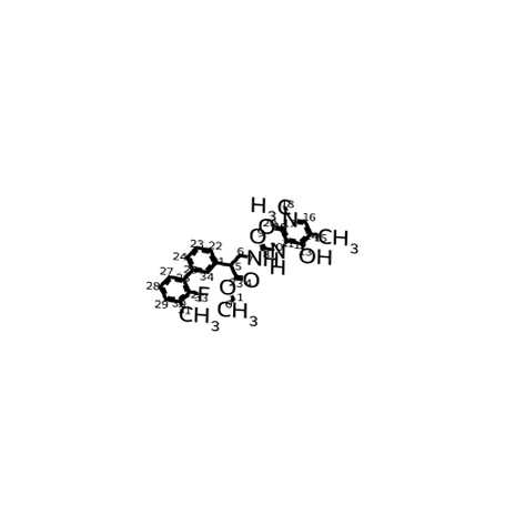 CCOC(=O)C(CNC(=O)Nc1c(O)c(C)cn(C)c1=O)c1cccc(-c2cccc(C)c2F)c1